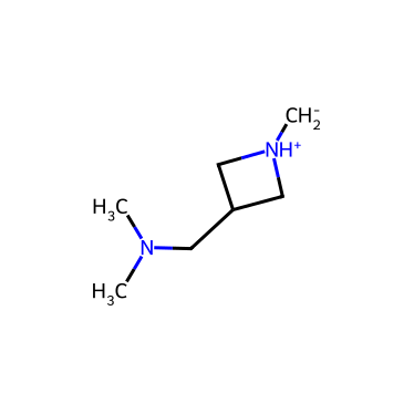 [CH2-][NH+]1CC(CN(C)C)C1